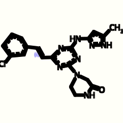 Cc1cc(Nc2nc(/C=C/c3cccc(Cl)c3)nc(N3CCNC(=O)C3)n2)n[nH]1